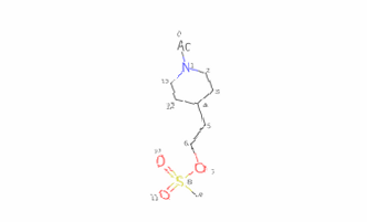 CC(=O)N1CCC(CCOS(C)(=O)=O)CC1